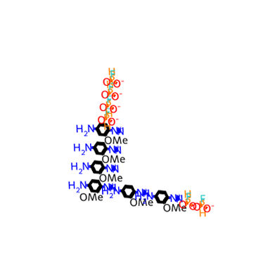 COc1cc(N)ccc1[N+]#N.COc1cc(N)ccc1[N+]#N.COc1cc(N)ccc1[N+]#N.COc1cc(N)ccc1[N+]#N.COc1cc(N)ccc1[N+]#N.COc1cc(N)ccc1[N+]#N.O=[PH]([O-])F.O=[PH]([O-])F.O=[PH]([O-])F.O=[PH]([O-])F.O=[PH]([O-])F.O=[PH]([O-])F